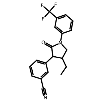 CCC1CN(c2cccc(C(F)(F)F)c2)C(=O)C1c1cccc(C#N)c1